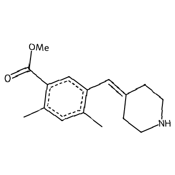 COC(=O)c1cc(C=C2CCNCC2)c(C)cc1C